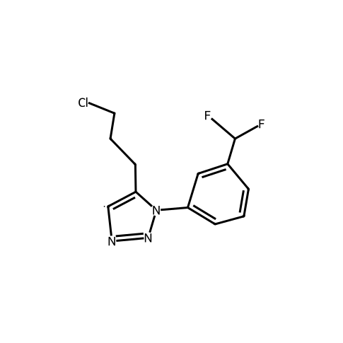 FC(F)c1cccc(-n2nn[c]c2CCCCl)c1